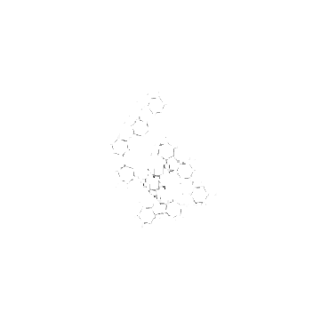 CC1(C)c2ccccc2-c2ccc(-c3cccc(-c4cccc(-c5nc(-n6c7ccccc7c7ccccc76)nc(-n6c7ccccc7c7ccc(-c8ccccc8)cc76)n5)c4)c3)cc21